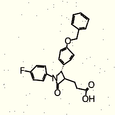 O=C(O)CCC1C(=O)N(c2ccc(F)cc2)[C@@H]1c1ccc(OCc2ccccc2)cc1